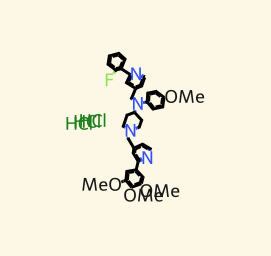 COc1ccc(N(Cc2ccnc(-c3ccccc3F)c2)C2CCN(Cc3ccnc(-c4cc(OC)c(OC)c(OC)c4)c3)CC2)cc1.Cl.Cl.Cl